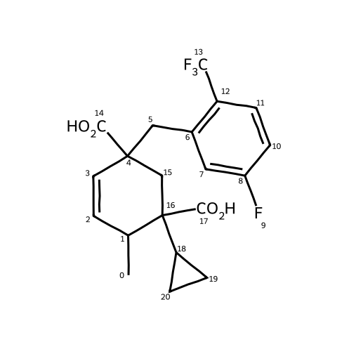 CC1C=CC(Cc2cc(F)ccc2C(F)(F)F)(C(=O)O)CC1(C(=O)O)C1CC1